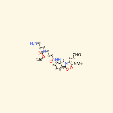 CNC(=O)C(CCC=O)N1Cc2c(NC(=O)CCCN(CCCN)C(=O)OC(C)(C)C)cccc2C1=O